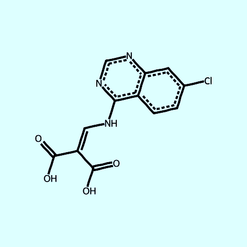 O=C(O)C(=CNc1ncnc2cc(Cl)ccc12)C(=O)O